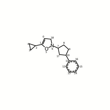 C1=C(C2CC2)ON(C2CCC(c3ccccc3)C2)C1